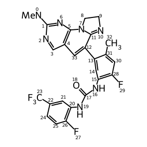 CNc1ncc2c(n1)N1CCN=C1C(c1cc(NC(=O)Nc3cc(C(F)(F)F)ccc3F)c(F)cc1C)=C2